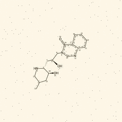 CC1CN[C@H](C[C@H](O)Cn2cnc3ccccc3c2=O)[C@@H](O)C1